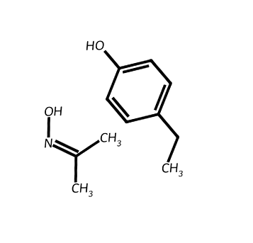 CC(C)=NO.CCc1ccc(O)cc1